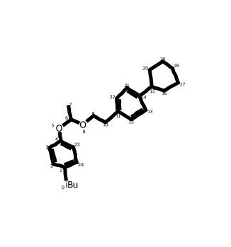 CCC(C)c1ccc(OC(C)OCCc2ccc(C3CCCCC3)cc2)cc1